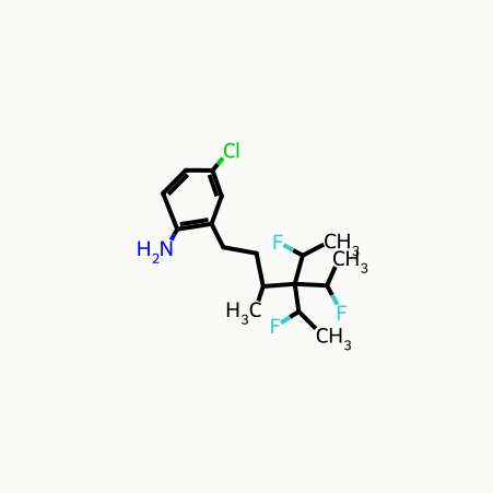 CC(F)C(C(C)F)(C(C)F)C(C)CCc1cc(Cl)ccc1N